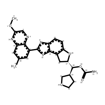 COc1cnc2c(-c3nc4ccc5c(c4s3)C[C@@H](C(OC(N)=O)[C@H]3CCOC3)O5)cc(C)cc2n1